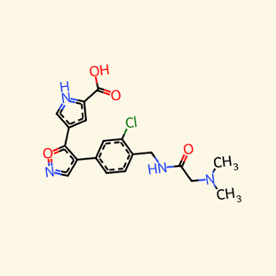 CN(C)CC(=O)NCc1ccc(-c2cnoc2-c2c[nH]c(C(=O)O)c2)cc1Cl